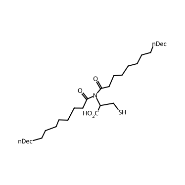 CCCCCCCCCCCCCCCCCC(=O)N(C(=O)CCCCCCCCCCCCCCCCC)C(CS)C(=O)O